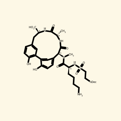 CCCCCCCCCCCCS(=O)(=O)N[C@@H](CCCCN)C(=O)N(C)[C@@H]1C(=O)N[C@@H](C)C(=O)N[C@H](C(=O)O)Cc2ccc(O)c(c2)-c2cc1ccc2O